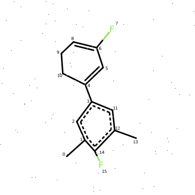 Cc1cc(C2=CC(F)=CC[CH]2)cc(C)c1F